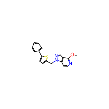 COc1nccc2c1cnn2Cc1ccc(-c2ccccc2)s1